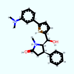 CN(C)c1cccc(-c2ccc(C(O)[C@H]3[C@@H](c4ccccc4)CC(=O)N3C)s2)c1